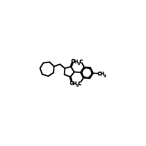 Cc1cc(C)c(C2C(=O)CC(CC3CCCCCC3)C2=O)c(C)c1